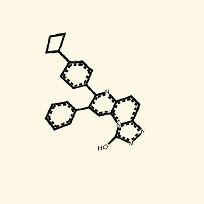 Oc1nnc2ccc3nc(-c4ccc([C]5CCC5)cc4)c(-c4ccccc4)cc3n12